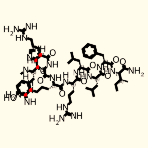 CC[C@H](C)[C@H](NC(=O)[C@H](Cc1ccccc1)NC(=O)[C@H](CC(C)C)NC(=O)[C@H](CC(C)C)NC(=O)[C@H](CCCNC(=N)N)NC(=O)[C@H](CCCNC(=N)N)NC(=O)[C@H](Cc1c[nH]cn1)NC(=O)[C@H](CCCNC(=N)N)NC(=O)[C@H](Cc1ccc(O)cc1)NC)C(N)=O